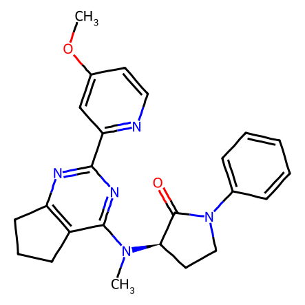 COc1ccnc(-c2nc3c(c(N(C)[C@@H]4CCN(c5ccccc5)C4=O)n2)CCC3)c1